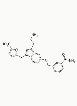 NCCc1cn(Cc2ccc(C(=O)O)o2)c2ccc(OCc3cccc(C(N)=O)c3)cc12